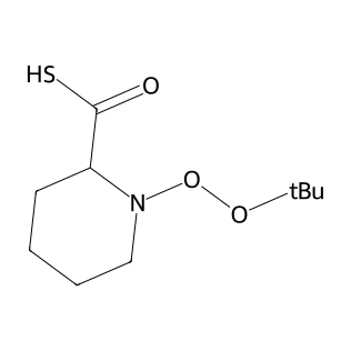 CC(C)(C)OON1CCCCC1C(=O)S